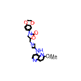 COc1ccc2nccc(NC3CN(CC4CN(c5ccc6c(c5)OCCO6)C(=O)O4)C3)c2n1